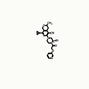 CC1Cc2c(C#N)c(N3CCN(C(=O)COc4cccnc4)[C@H](C(C)C)C3)nc(C3CC3)c2CO1